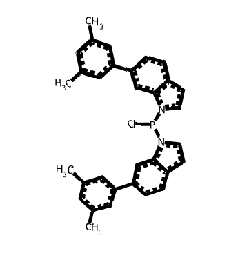 Cc1cc(C)cc(-c2ccc3ccn(P(Cl)n4ccc5ccc(-c6cc(C)cc(C)c6)cc54)c3c2)c1